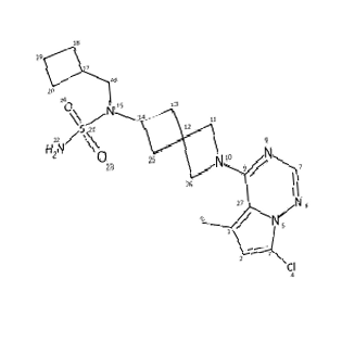 Cc1cc(Cl)n2ncnc(N3CC4(CC(N(CC5CCC5)S(N)(=O)=O)C4)C3)c12